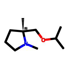 CC(C)OC[C@]1(C)CCCN1C